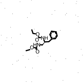 CCOC(=O)NC[C@H](Cc1ccccc1)NC(=O)OCC